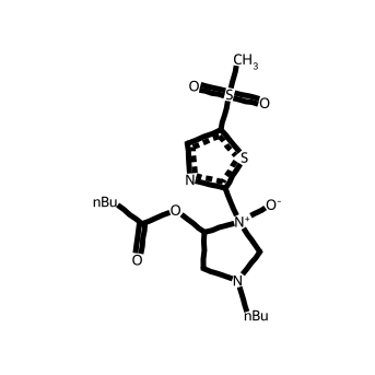 CCCCC(=O)OC1CN(CCCC)C[N+]1([O-])c1ncc(S(C)(=O)=O)s1